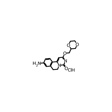 Cl.Nc1ccc2c(c1)CCn1c-2cc(OCC2COCCO2)nc1=O